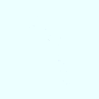 CCOC(=O)c1ccc(S(=O)(=O)NC(=O)c2ccc(N3C(=O)CSC3c3ccc(F)cc3)c(C)c2)cc1S(=O)(=O)NC(=O)c1ccc(N2C(=O)CSC2c2ccc(F)cc2)c(C)c1